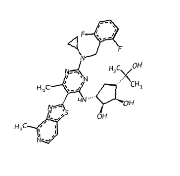 Cc1nc(N(Cc2c(F)cccc2F)C2CC2)nc(N[C@@H]2C[C@H](C(C)(C)O)[C@@H](O)[C@H]2O)c1-c1nc2c(C)nccc2s1